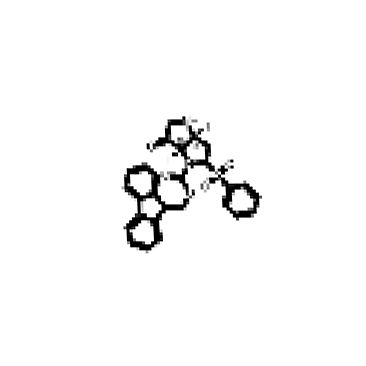 O=C1CN[C@@H]2CC(S(=O)(=O)c3ccccc3)N(C(=O)OCC3c4ccccc4-c4ccccc43)[C@H]12